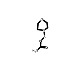 NC(=O)NSN1CCOCC1